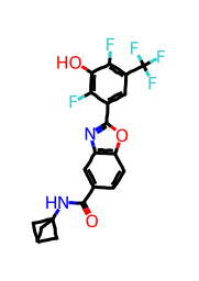 O=C(NC12CC(C1)C2)c1ccc2oc(-c3cc(C(F)(F)F)c(F)c(O)c3F)nc2c1